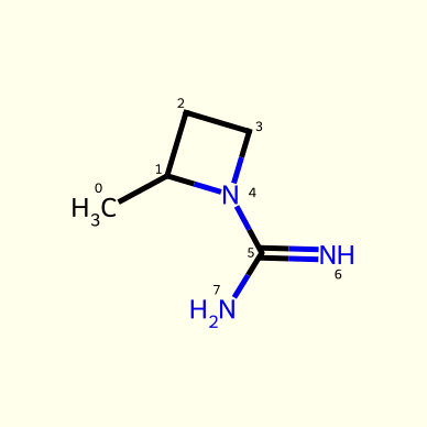 CC1CCN1C(=N)N